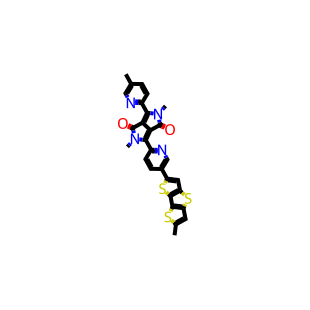 Cc1ccc(C2=C3C(=O)N(C)C(c4ccc(-c5cc6sc7cc(C)sc7c6s5)cn4)=C3C(=O)N2C)nc1